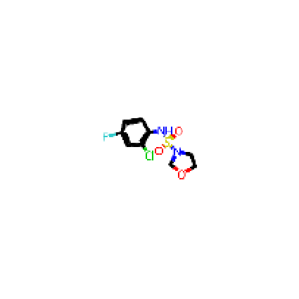 O=S(=O)(Nc1ccc(F)cc1Cl)N1CCOC1